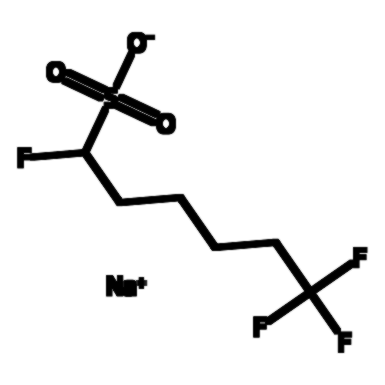 O=S(=O)([O-])C(F)CCCCC(F)(F)F.[Na+]